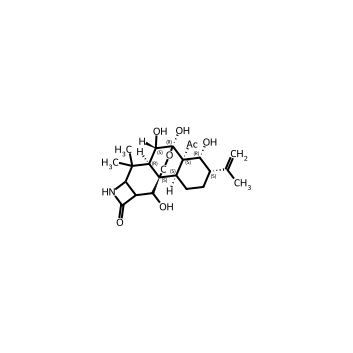 C=C(C)[C@@H]1CC[C@H]2[C@@]34CO[C@@](O)([C@@H](O)[C@@H]3C(C)(C)C3NC(=O)C3C4O)[C@@]2(C(C)=O)[C@@H]1O